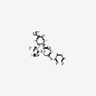 N=C(N)N(CC(=S)Cc1ccccc1)C(=O)c1ccc(Cl)cc1